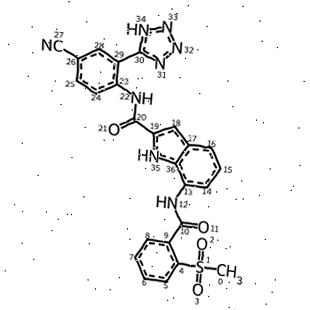 CS(=O)(=O)c1ccccc1C(=O)Nc1cccc2cc(C(=O)Nc3ccc(C#N)cc3-c3nnn[nH]3)[nH]c12